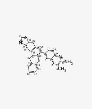 Cc1cc2cc(C(=O)N3Cc4ccccc4CC3c3ccc4scnc4c3)ccc2nc1N